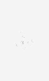 Cc1ccc(NC(=O)OCC(COC(=O)Nc2ccc(C)c(N=C=O)c2)(COC(=O)Nc2ccc(C)c(N=C=O)c2)COC(=O)Nc2ccc(C)c(N=C=O)c2)cc1N=C=O